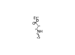 CCOC(=O)CCN[C]=S